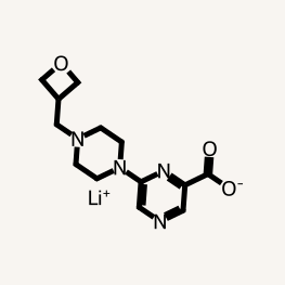 O=C([O-])c1cncc(N2CCN(CC3COC3)CC2)n1.[Li+]